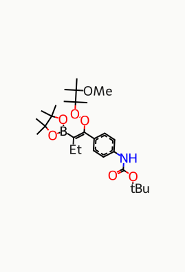 CC/C(B1OC(C)(C)C(C)(C)O1)=C(/OOC(C)(C)C(C)(C)OC)c1ccc(NC(=O)OC(C)(C)C)cc1